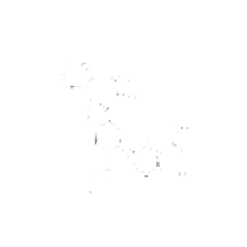 CNC(=O)c1c(-c2ccc(F)cc2)oc2cc([AsH]CC(F)(F)F)c(-c3ccc(OC)c(C(=O)OC)c3)cc12